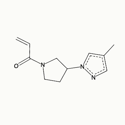 C=CC(=O)N1CCC(n2cc(C)cn2)C1